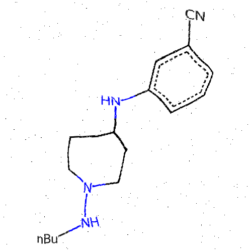 CCCCNN1CCC(Nc2cccc(C#N)c2)CC1